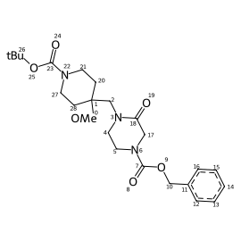 COC1(CN2CCN(C(=O)OCc3ccccc3)CC2=O)CCN(C(=O)OC(C)(C)C)CC1